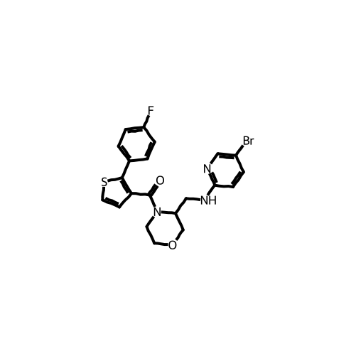 O=C(c1ccsc1-c1ccc(F)cc1)N1CCOCC1CNc1ccc(Br)cn1